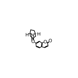 O=c1ccc2ccc(OC3C[C@@H]4CC[C@@H](C3)N4)cc2o1